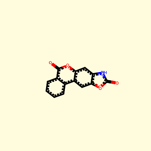 O=c1[nH]c2cc3oc(=O)c4ccccc4c3cc2o1